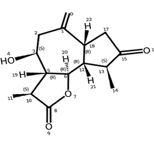 C=C1C[C@H](O)[C@@H]2[C@H](OC(=O)[C@H]2C)[C@H]2[C@H](C)C(=O)C[C@@H]12